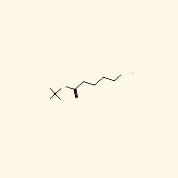 CCCCCCCCCCCC(=O)NC(C)(C)O